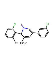 N#Cc1cccc(Cl)c1C1C(C(=O)O)=CC(c2cccc(Cl)c2)=CN1I